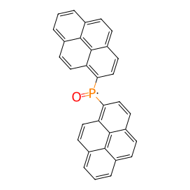 O=[P](c1ccc2ccc3cccc4ccc1c2c34)c1ccc2ccc3cccc4ccc1c2c34